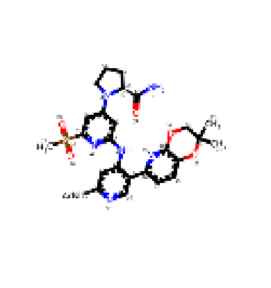 CC(=O)Nc1cc(Nc2cc(N3CCC[C@H]3C(N)=O)cc(S(C)(=O)=O)n2)c(-c2ccc3c(n2)OCC(C)(C)O3)cn1